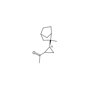 CC(=O)C1C[C@@H]1C1(C)CC2CCC1C2